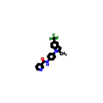 Cc1cc2cc(C(F)(F)F)ccc2n1-c1ccc(NC(=O)c2cccnc2)cc1